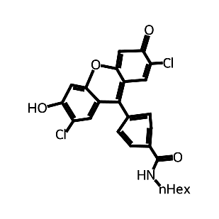 CCCCCCNC(=O)c1ccc(-c2c3cc(Cl)c(=O)cc-3oc3cc(O)c(Cl)cc23)cc1